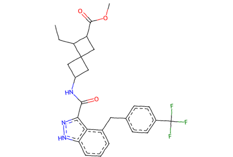 CCC1C(C(=O)OC)CC12CC(NC(=O)c1n[nH]c3cccc(Cc4ccc(C(F)(F)F)cc4)c13)C2